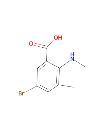 CNc1c(C)cc(Br)cc1C(=O)O